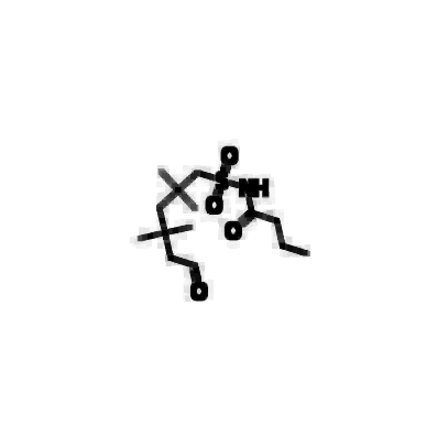 CCCC(=O)NS(=O)(=O)CC(C)(C)CC(C)(C)CC=O